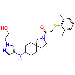 Cc1cccc(C)c1SCC(=O)N1CCC2(CCC(Nc3cnn(CCO)c3)CC2)C1